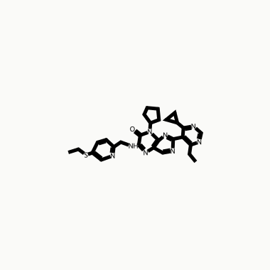 CCSc1ccc(CNc2nc3cnc(-c4c(CC)ncnc4C4CC4)nc3n(C3CCCC3)c2=O)nc1